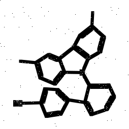 Cc1ccc2c(c1)c1cc(C)ccc1n2-c1ccccc1-c1ccc(C#N)cc1